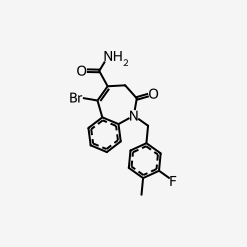 Cc1ccc(CN2C(=O)CC(C(N)=O)=C(Br)c3ccccc32)cc1F